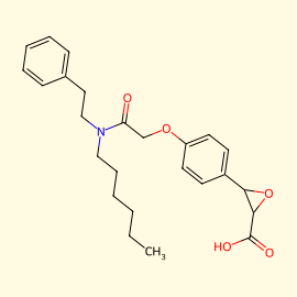 CCCCCCN(CCc1ccccc1)C(=O)COc1ccc(C2OC2C(=O)O)cc1